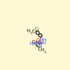 CONc1nc(NC(=O)Nc2ccc3cc(Cl)c(C)cc3c2)nc(C)c1F